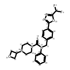 FC(F)c1nnc(-c2ccc(CN(C(=S)N3CCN(C4COC4)CC3)c3ccccc3)cc2)o1